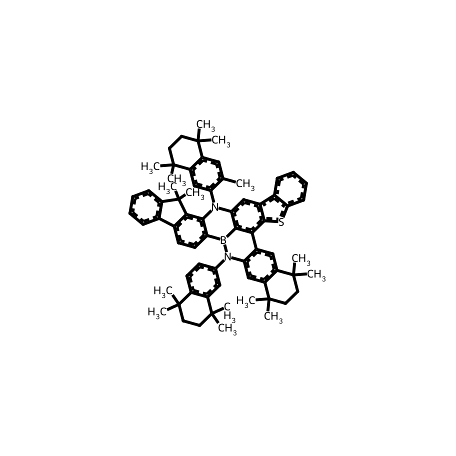 Cc1cc2c(cc1N1c3cc4c(sc5ccccc54)c4c3B(c3ccc5c(c31)C(C)(C)c1ccccc1-5)N(c1ccc3c(c1)C(C)(C)CCC3(C)C)c1cc3c(cc1-4)C(C)(C)CCC3(C)C)C(C)(C)CCC2(C)C